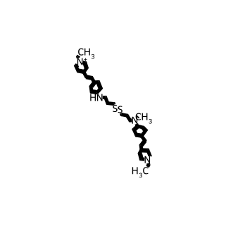 CCN1C=CC(/C=C/c2ccc(N(C)CCCSSCCCNc3ccc(/C=C/c4cc[n+](CC)cc4)cc3)cc2)=CC1